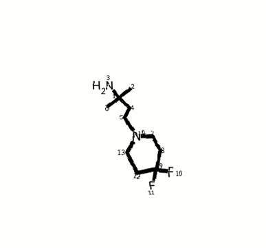 CC(C)(N)CCN1CCC(F)(F)CC1